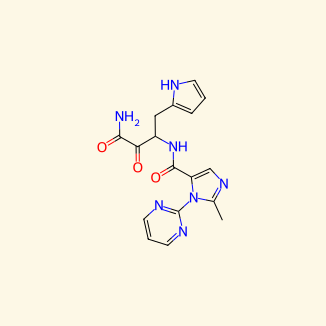 Cc1ncc(C(=O)NC(Cc2ccc[nH]2)C(=O)C(N)=O)n1-c1ncccn1